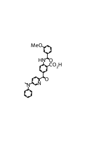 COc1cccc(C(=O)Nc2ccc(C(=O)c3ccc(N(C)c4ccccc4)cn3)cc2C(=O)O)c1